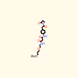 CC(C)COCCCOCCNC(=O)CC(=O)Nc1ccc(CC(=O)N2CCC2=O)cc1